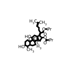 CC(C)=CCC/C(C(=O)OC(C)C)=C1/C(OC(=O)C(C)C)CC2(C)C1CC(O)C1C3(C)CCC(O)C(C)C3CCC12C